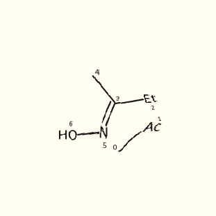 CC(C)=O.CCC(C)=NO